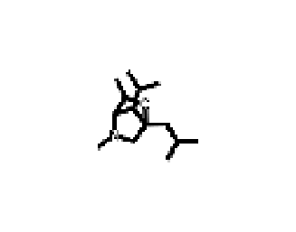 CC(C)CC12CN(C)C(C(C)O1)C2C(C)C